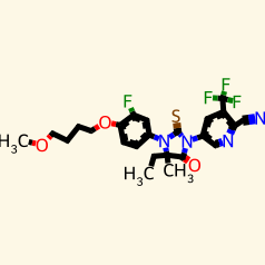 CCC1(C)C(=O)N(c2cnc(C#N)c(C(F)(F)F)c2)C(=S)N1c1ccc(OCCCCOC)c(F)c1